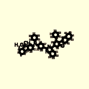 CC1(C)c2ccccc2-c2ccc(N(c3ccccc3)c3ccc(-c4nc(-c5cc(-c6ccccc6)c6c(c5)oc5cc7ccccc7cc56)c5ccccc5n4)cc3)cc21